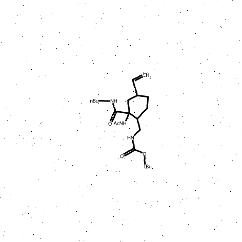 C=CC1CCC(CNC(=O)OC(C)(C)C)C(NC(C)=O)(C(=O)NCCCC)C1